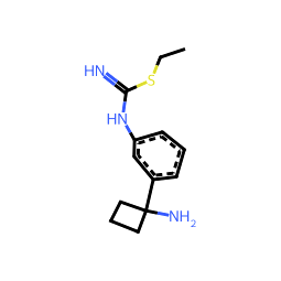 CCSC(=N)Nc1cccc(C2(N)CCC2)c1